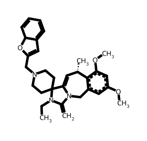 C=C1N2Cc3cc(OC)cc(OC)c3[C@@H](C)C=C2C2(CCN(CC3=CC4=C=CC=CC4O3)CC2)N1CC